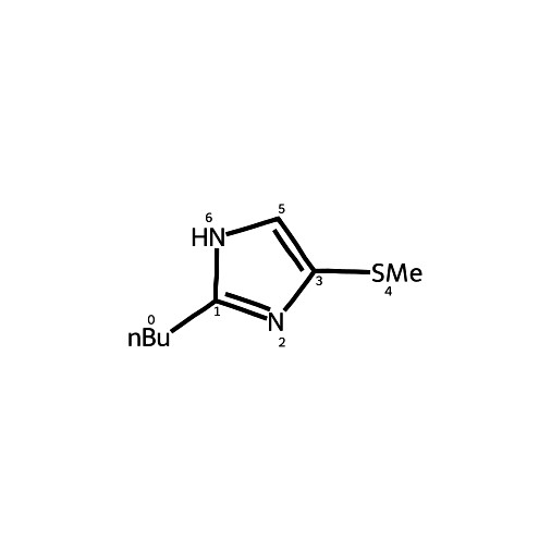 CCCCc1nc(SC)c[nH]1